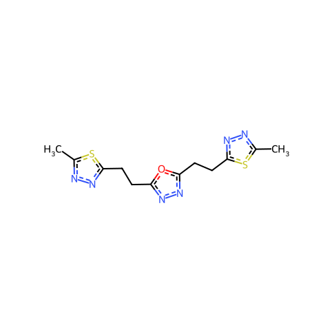 Cc1nnc(CCc2nnc(CCc3nnc(C)s3)o2)s1